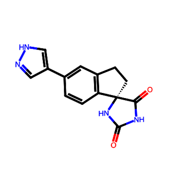 O=C1NC(=O)[C@@]2(CCc3cc(-c4cn[nH]c4)ccc32)N1